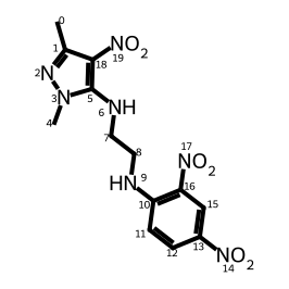 Cc1nn(C)c(NCCNc2ccc([N+](=O)[O-])cc2[N+](=O)[O-])c1[N+](=O)[O-]